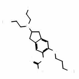 CCCCOc1cc2c(cc1OC(C)=O)CC(N(CCC)CCC)C2